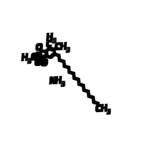 CCCCCCCCCCCCCCCCCCc1cc2c(c(C)c1C)C(=O)N(C)S2(=O)=O.N